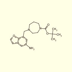 CC(C)(C)OC(=O)N1CCCN(Cc2cc(N)cc3ccoc23)CC1